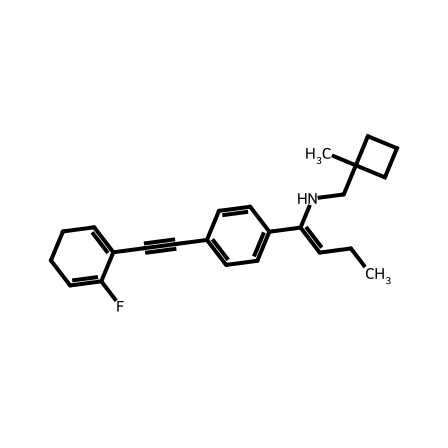 CC/C=C(\NCC1(C)CCC1)c1ccc(C#CC2=CCCC=C2F)cc1